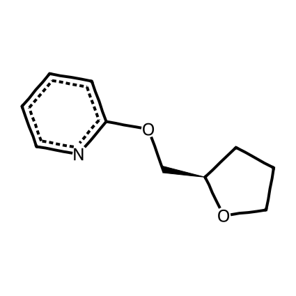 c1ccc(OC[C@H]2CCCO2)nc1